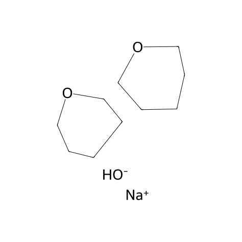 C1CCOCC1.C1CCOCC1.[Na+].[OH-]